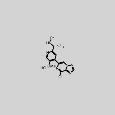 CCN[C@H](C)c1cc(-c2cn3ncnc3c(Cl)n2)c(OC)cn1.Cl